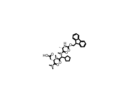 C[C@H](NC(=O)OCC1c2ccccc2-c2ccccc21)C(=O)N(C)[C@H](C(=O)N(C)[C@@H](CC(=O)O)C(=O)N(C)C)C1CCCC1